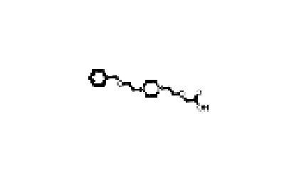 O=C(O)COCCN1CCN(CCOCc2ccccc2)CC1